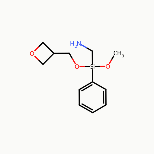 CO[Si](CN)(OCC1COC1)c1ccccc1